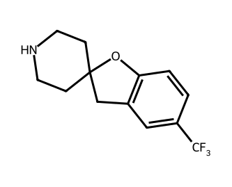 FC(F)(F)c1ccc2c(c1)CC1(CCNCC1)O2